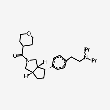 CC(C)N(CCc1ccc([C@@H]2CC[C@@H]3CN(C(=O)C4CCOCC4)C[C@@H]32)cc1)C(C)C